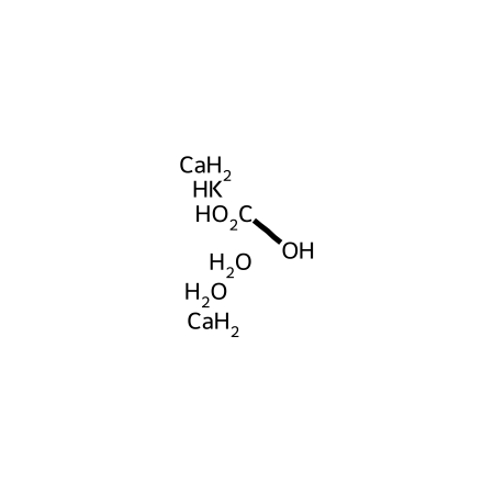 O.O.O=C(O)O.[CaH2].[CaH2].[KH]